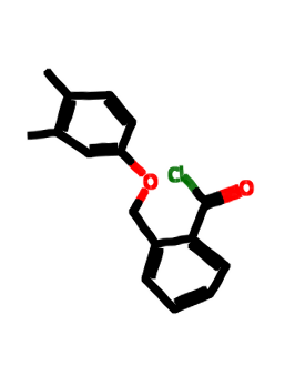 Cc1ccc(OCc2ccccc2C(=O)Cl)cc1C